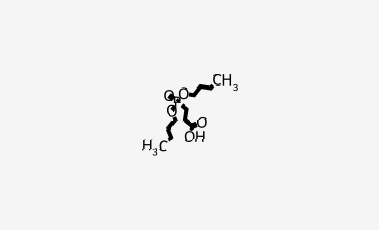 CCCCOP(=O)(CCC(=O)O)OCCCC